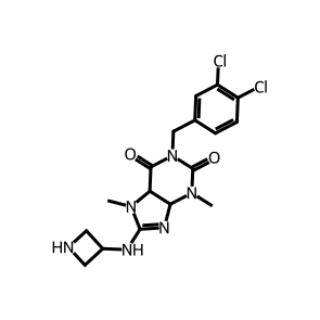 CN1C(=O)N(Cc2ccc(Cl)c(Cl)c2)C(=O)C2C1N=C(NC1CNC1)N2C